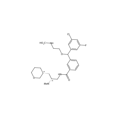 CN[C@@H](CNC(=O)c1cccc(C(OCCNC(=O)O)c2cc(F)cc(Cl)c2)c1)C[C@H]1CCCOC1